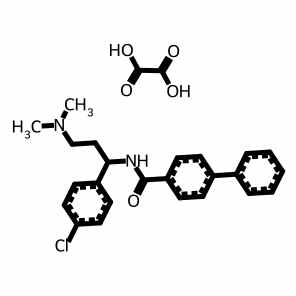 CN(C)CCC(NC(=O)c1ccc(-c2ccccc2)cc1)c1ccc(Cl)cc1.O=C(O)C(=O)O